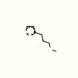 COC[C@H](S)Cc1cc[nH]n1